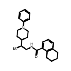 CCC(CNC(=O)c1cccc2c1CCCC2)C1CCN(c2ccccc2)CC1